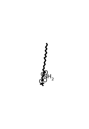 CCCCCCCCCCCCCCCC(=O)OC(N)CC(=O)OC(C)(C)C